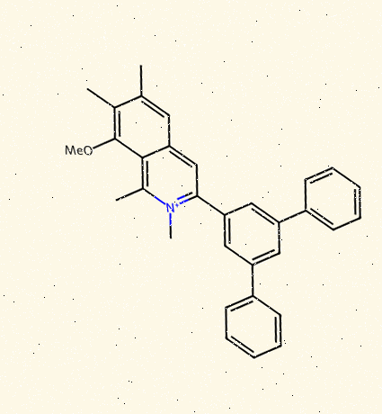 COc1c(C)c(C)cc2cc(-c3cc(-c4ccccc4)cc(-c4ccccc4)c3)[n+](C)c(C)c12